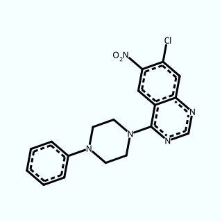 O=[N+]([O-])c1cc2c(N3CCN(c4ccccc4)CC3)ncnc2cc1Cl